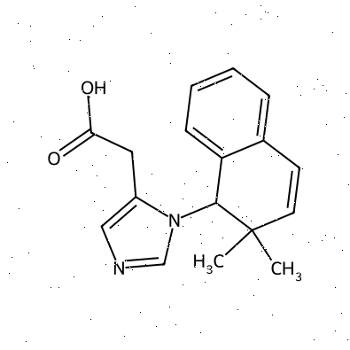 CC1(C)C=Cc2ccccc2C1n1cncc1CC(=O)O